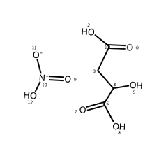 O=C(O)CC(O)C(=O)O.O=[N+]([O-])O